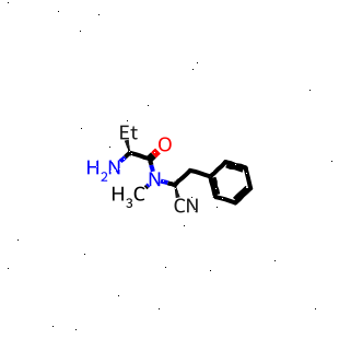 CC[C@H](N)C(=O)N(C)[C@H](C#N)Cc1ccccc1